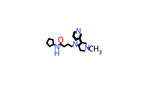 CN1CCc2c(c3cnccc3n2CCCC(=O)NC2CCCC2)C1